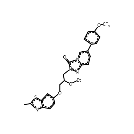 CCOC(COc1ccc2nc(C)sc2c1)Cn1nc2ccc(-c3ccc(OC(F)(F)F)cc3)cn2c1=O